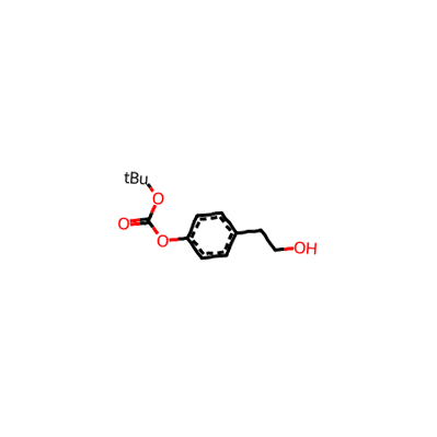 CC(C)(C)OC(=O)Oc1ccc(CCO)cc1